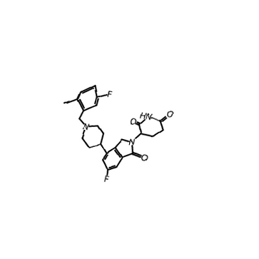 Cc1ccc(F)cc1CN1CCC(c2cc(F)cc3c2CN(C2CCC(=O)NC2=O)C3=O)CC1